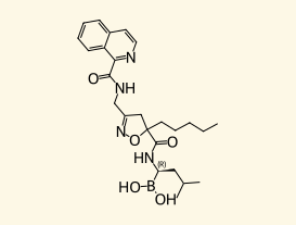 CCCCCC1(C(=O)N[C@@H](CC(C)C)B(O)O)CC(CNC(=O)c2nccc3ccccc23)=NO1